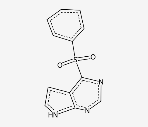 O=S(=O)(c1ccccc1)c1ncnc2[nH]ccc12